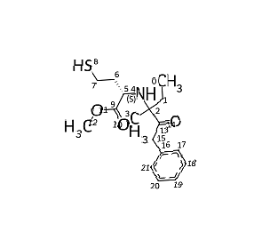 CCC(C)(N[C@@H](CCS)C(=O)OC)C(=O)Cc1ccccc1